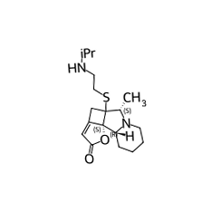 CC(C)NCCSC12CC3=CC(=O)O[C@]31[C@H]1CCCCN1[C@H]2C